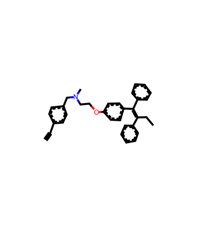 C#Cc1ccc(CN(C)CCOc2ccc(/C(=C(/CC)c3ccccc3)c3ccccc3)cc2)cc1